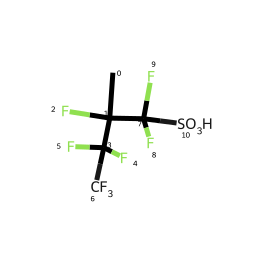 CC(F)(C(F)(F)C(F)(F)F)C(F)(F)S(=O)(=O)O